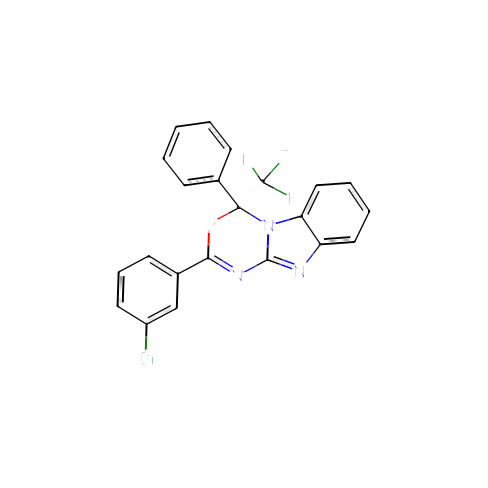 FC(F)(F)[C@@]1(c2ccccc2)OC(c2cccc(Br)c2)=Nc2nc3ccccc3n21